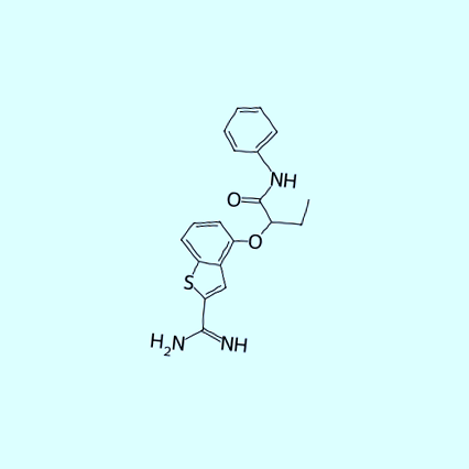 CCC(Oc1cccc2sc(C(=N)N)cc12)C(=O)Nc1ccccc1